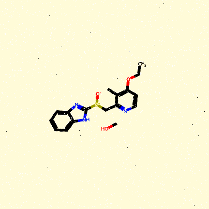 CO.Cc1c(OCC(F)(F)F)ccnc1C[S+]([O-])c1nc2ccccc2[nH]1